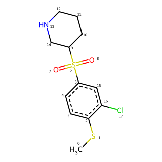 CSc1ccc(S(=O)(=O)C2CCCNC2)cc1Cl